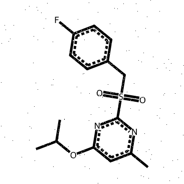 Cc1cc(OC(C)C)nc(S(=O)(=O)Cc2ccc(F)cc2)n1